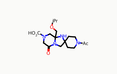 CC(=O)N1CCC2(CC1)CN1C(=O)CN(C(=O)O)CC1(COC(C)C)N2